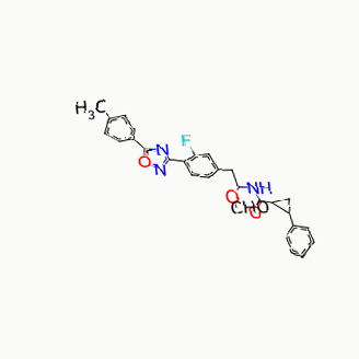 Cc1ccc(-c2nc(-c3ccc(CC(NC(=O)C4CC4c4ccccc4)OC=O)cc3F)no2)cc1